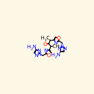 CC(C(=O)C(C)c1coc(Cn2ncc(N)n2)n1)c1coc(Cn2ncc(N)n2)n1